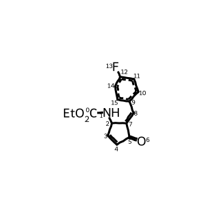 CCOC(=O)NC1C=CC(=O)/C1=C/c1ccc(F)cc1